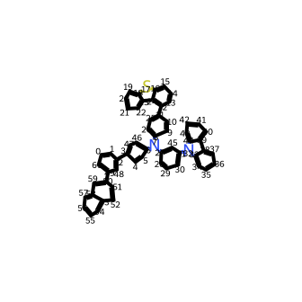 c1cc(-c2ccc(N(c3ccc(-c4cccc5sc6ccccc6c45)cc3)c3cccc(-n4c5ccccc5c5ccccc54)c3)cc2)cc(-c2ccc3ccccc3c2)c1